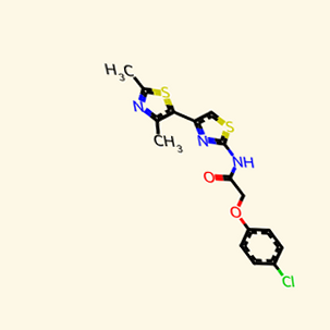 Cc1nc(C)c(-c2csc(NC(=O)COc3ccc(Cl)cc3)n2)s1